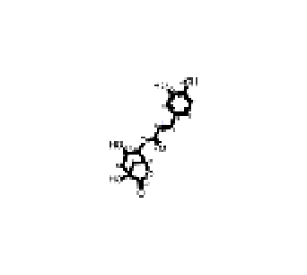 O=C(/C=C/c1ccc(O)c(O)c1)OC1C(O)CC2(O)CC1OC2=O